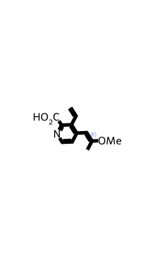 C=Cc1c(/C=C(\C)OC)ccnc1C(=O)O